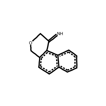 N=C1COCc2ccc3ccccc3c21